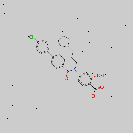 O=C(O)c1ccc(N(CCCC2CCCC2)C(=O)c2ccc(-c3ccc(Cl)cc3)cc2)cc1O